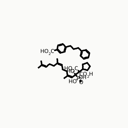 CC(C)=CCCC(C)=CCCC(C)=CC(O)(C(C(=O)O)(C(=O)O)C1CCCC1)P(=O)(O)O.O=C(O)c1ccc(CCCc2ccccc2)cc1